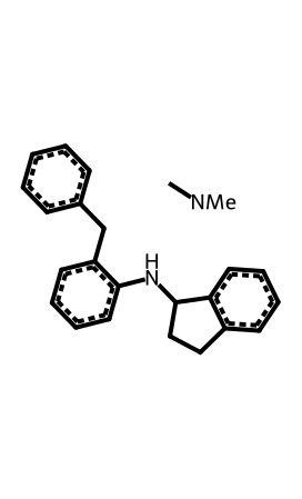 CNC.c1ccc(Cc2ccccc2NC2CCc3ccccc32)cc1